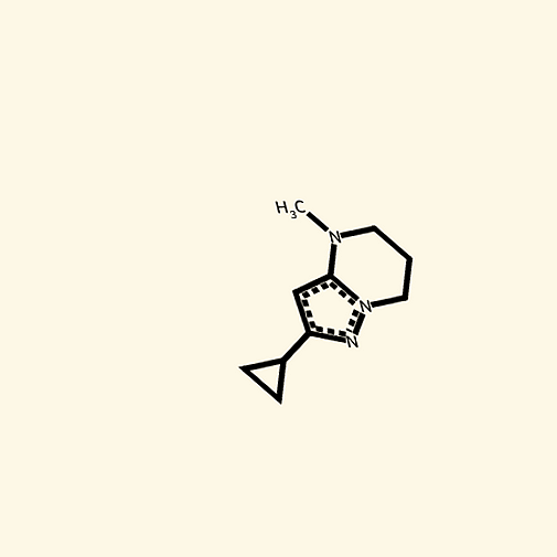 CN1CCCn2nc(C3CC3)cc21